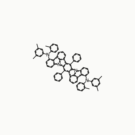 Cc1cc(C)cc(N(c2ccccc2C)c2cccc3c2c2cccc4c5c(-c6ccccc6)c6c(c(-c7ccccc7)c5n3c24)c2cccc3c4c(N(c5cc(C)cc(C)c5)c5ccccc5C)cccc4n6c32)c1